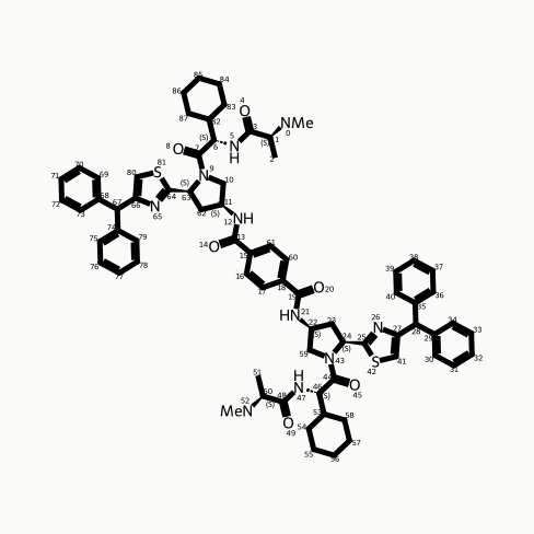 CN[C@@H](C)C(=O)N[C@H](C(=O)N1C[C@@H](NC(=O)c2ccc(C(=O)N[C@H]3C[C@@H](c4nc(C(c5ccccc5)c5ccccc5)cs4)N(C(=O)[C@@H](NC(=O)[C@H](C)NC)C4CCCCC4)C3)cc2)C[C@H]1c1nc(C(c2ccccc2)c2ccccc2)cs1)C1CCCCC1